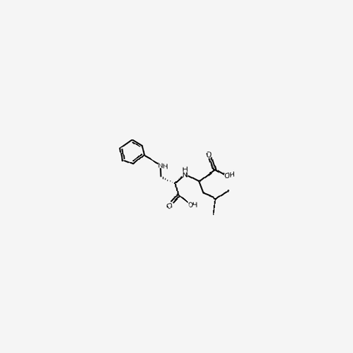 CC(C)CC(N[C@@H](CNc1ccccc1)C(=O)O)C(=O)O